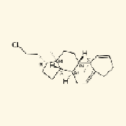 C[C@]12CC[C@H]3[C@@H](CC=C4CCC=C[C@@]43C)[C@@H]1CC[C@@H]2CCCl